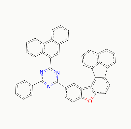 c1ccc(-c2nc(-c3ccc4oc5ccc6c(c5c4c3)-c3cccc4cccc-6c34)nc(-c3cc4ccccc4c4ccccc34)n2)cc1